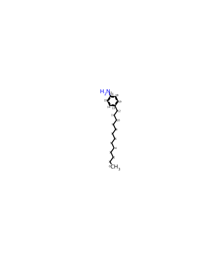 CCCCCCCCCCCCCc1ccc(N)cc1